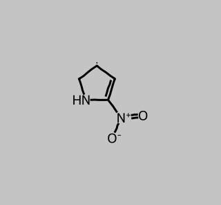 O=[N+]([O-])C1=C[CH]CN1